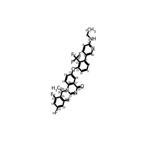 CCNc1ccc(-c2cccc(Oc3ccc4c(c3)c(=O)ncn4[C@H](C)c3c(F)cc(F)cc3F)c2C(F)(F)F)cn1